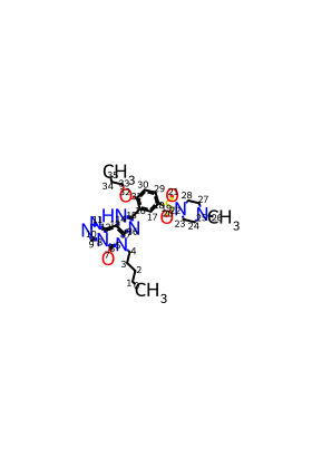 CCCCCn1c(=O)n2cnnc2c2[nH]c(-c3cc(S(=O)(=O)N4CCN(C)CC4)ccc3OCCC)nc21